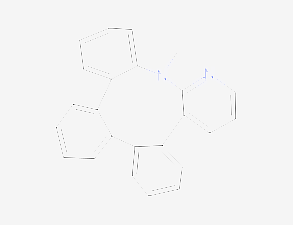 Cn1c2ccccc2c2ccccc2c2ccccc2c2cccnc21